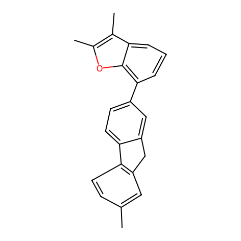 Cc1ccc2c(c1)Cc1cc(-c3cccc4c(C)c(C)oc34)ccc1-2